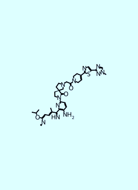 C=N/C(=C\C=C(/C)C(=N)c1nc(N2CC[C@]3(CCN(CC(=O)N4CC=C(c5ncc(-c6ncn(C)n6)s5)CC4)C3)C2=O)ccc1N)OC(C)C